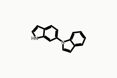 [c]1ccc2ccn(-c3ccc4cc[nH]c4c3)c2c1